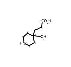 O=C(O)CCC1(O)CCNCC1